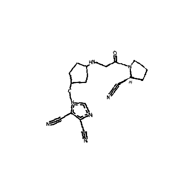 N#Cc1ncn(CC2CCC(NCC(=O)N3CCC[C@H]3C#N)C2)c1C#N